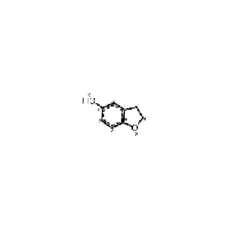 Oc1ccc2c(c1)CCO2